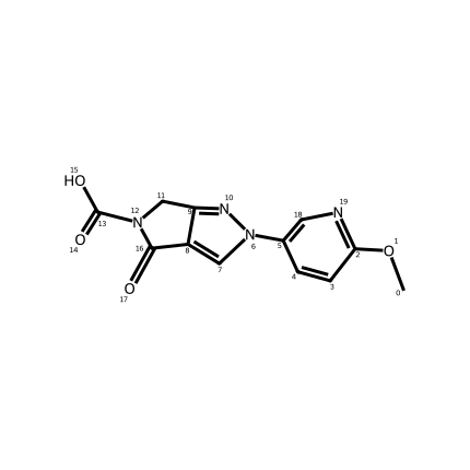 COc1ccc(-n2cc3c(n2)CN(C(=O)O)C3=O)cn1